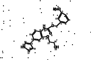 COc1cccc(COC(=O)Nc2ccc(-c3cn[nH]c3)cc2OCCO)c1